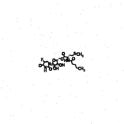 CCCCC(=O)N[C@@H](CCSC)C(=O)OC[C@H]1O[C@@H](n2cc(F)c(=O)[nH]c2=O)[C@H](O)[C@@H]1O